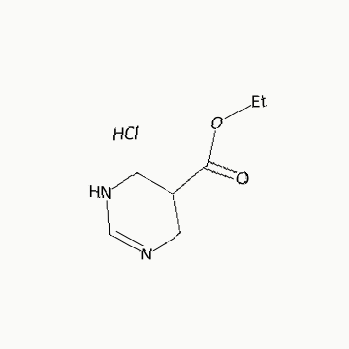 CCOC(=O)C1CN=CNC1.Cl